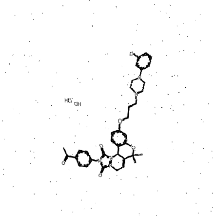 CC(=O)c1ccc(-n2c(=O)n3n(c2=O)C2C(=CC3)C(C)(C)Oc3cc(OCCCN4CCN(c5cccc(Cl)c5)CC4)ccc32)cc1.Cl.Cl